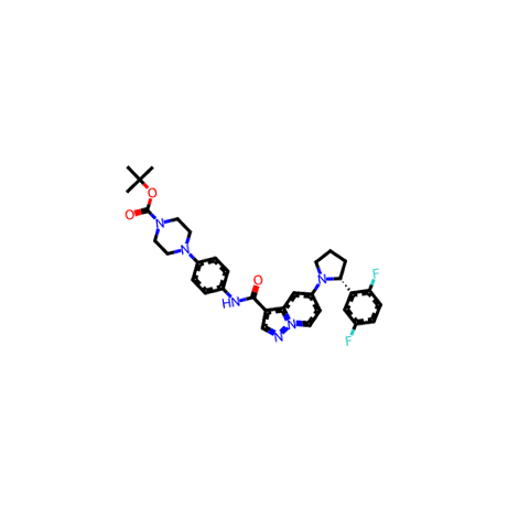 CC(C)(C)OC(=O)N1CCN(c2ccc(NC(=O)c3cnn4ccc(N5CCC[C@@H]5c5cc(F)ccc5F)cc34)cc2)CC1